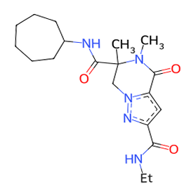 CCNC(=O)c1cc2n(n1)CC(C)(C(=O)NC1CCCCCC1)N(C)C2=O